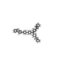 c1ccc2oc(-c3ccc(N(c4ccc(-c5ccc(-c6ccc7c(c6)oc6ccccc67)cc5)cc4)c4ccc(-c5nc6ccccc6o5)cc4)cc3)cc2c1